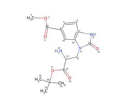 COC(=O)c1ccc2[nH]c(=O)n(CC(N)C(=O)OC(C)(C)C)c2c1